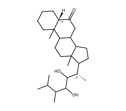 CC(C)C(C)C(O)C(O)[C@@H](C)C1CCC2C3CC(=O)[C@H]4CCCCC4(C)C3CCC21C